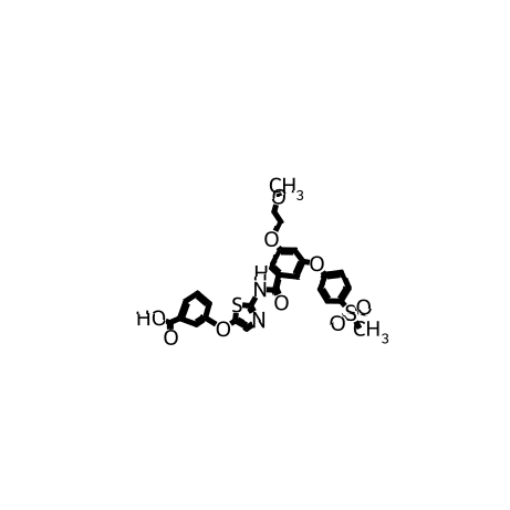 COCCOc1cc(Oc2ccc(S(C)(=O)=O)cc2)cc(C(=O)Nc2ncc(Oc3cccc(C(=O)O)c3)s2)c1